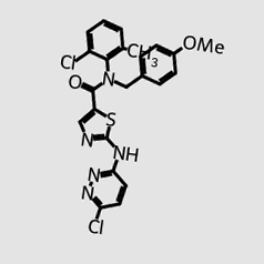 COc1ccc(CN(C(=O)c2cnc(Nc3ccc(Cl)nn3)s2)c2c(C)cccc2Cl)cc1